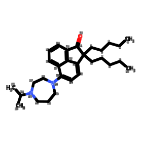 CCCCCC1(CCCCC)C(=O)c2cccc3c(N4CCCN(C(C)C)CC4)ccc1c23